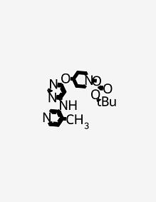 Cc1ccncc1Nc1cc(OC2CCN(OC(=O)OC(C)(C)C)CC2)ncn1